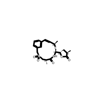 C[C@@H]1C=Cc2cccc(c2)CS(=O)(=O)C[C@@H](C)C(=O)N[C@H]([C@@H]2C[C@@H](C)C(=O)O2)C1